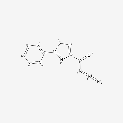 [N-]=[N+]=NC(=O)c1csc(-c2ccccn2)n1